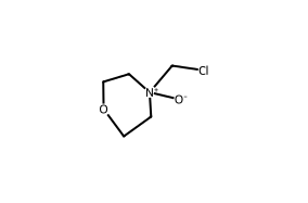 [O-][N+]1(CCl)CCOCC1